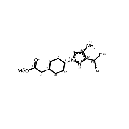 COC(=O)C[C@H]1CC[C@H](n2cc(N)c(C(F)F)n2)CC1